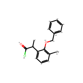 CC(C)c1cccc(C(C)C(=O)Cl)c1OCc1ccccc1